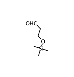 C[Si](C)(C)OCCC=O